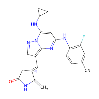 C=C1NC(=O)C/C1=C\c1cnn2c(NC3CC3)cc(Nc3ccc(C#N)cc3F)nc12